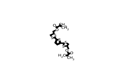 C=C(C)C(=O)OCC1CSC(c2ccc(C3SCC(COC(=O)C(=C)C)S3)s2)S1